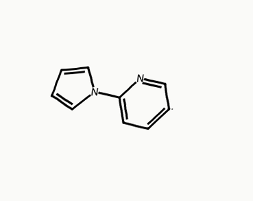 [c]1ccc(-n2cccc2)nc1